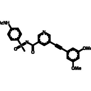 COc1cc(C#Cc2cncc(C(=O)N=S(C)(=O)c3ccc(NC(C)=O)cc3)c2)cc(OC)c1